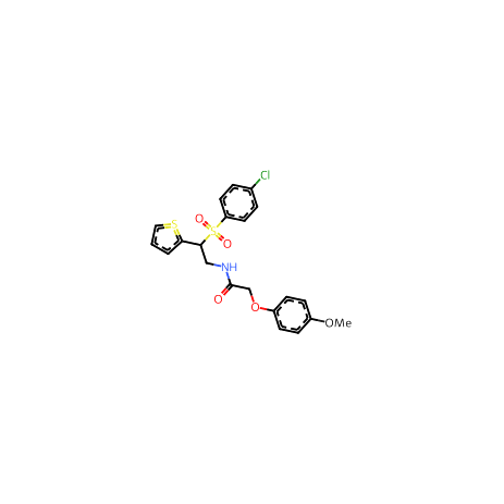 COc1ccc(OCC(=O)NCC(c2cccs2)S(=O)(=O)c2ccc(Cl)cc2)cc1